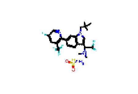 CN(C)C(c1cn(CC(C)(C)C)c2cc(-c3ncc(F)cc3C(F)(F)F)ccc12)C(F)F.N[SH](=O)=O